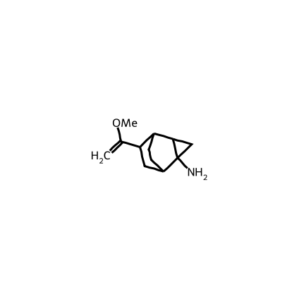 C=C(OC)C1CC2CCC1C1CC21N